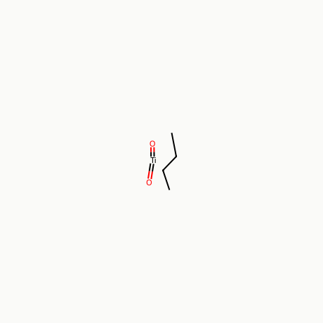 CCCC.[O]=[Ti]=[O]